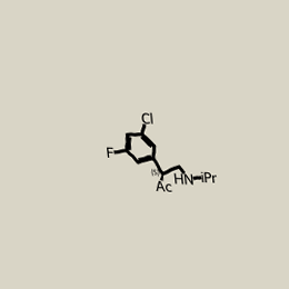 CC(=O)[C@H](CNC(C)C)c1cc(F)cc(Cl)c1